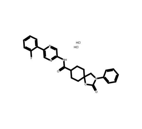 Cl.Cl.O=C(Nc1cnc(-c2ccccc2F)cn1)C1CCC2(CC1)CN(c1ccccc1)C(=O)O2